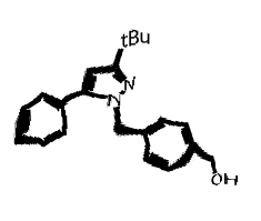 CC(C)(C)c1cc(-c2ccccc2)n(Cc2ccc(CO)cc2)n1